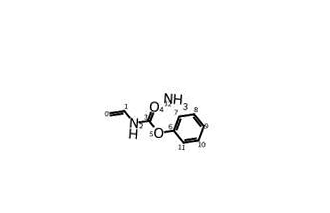 C=CNC(=O)Oc1ccccc1.N